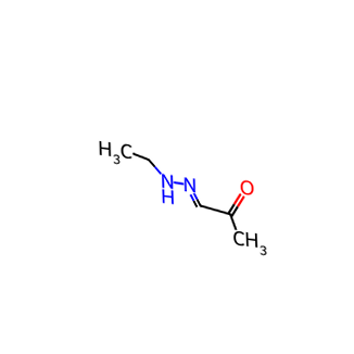 CCNN=CC(C)=O